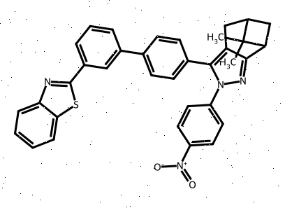 CC1(C)C2Cc3c(nn(-c4ccc([N+](=O)[O-])cc4)c3-c3ccc(-c4cccc(-c5nc6ccccc6s5)c4)cc3)C1C2